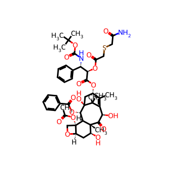 CC(=O)O[C@@]12CO[C@@H]1C[C@H](O)[C@@]1(C)C(=O)[C@H](O)C3=C(C)[C@@H](OC(=O)[C@H](OC(=O)CSCC(N)=O)[C@@H](NC(=O)OC(C)(C)C)c4ccccc4)C[C@@](O)([C@@H](OC(=O)c4ccccc4)[C@H]21)C3(C)C